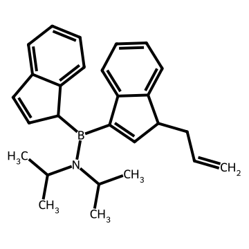 C=CCC1C=C(B(C2C=Cc3ccccc32)N(C(C)C)C(C)C)c2ccccc21